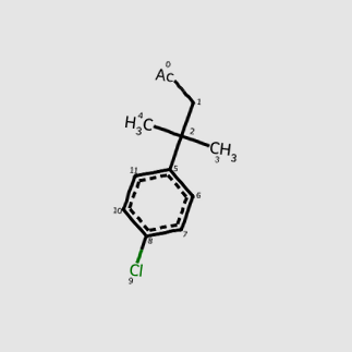 CC(=O)CC(C)(C)c1ccc(Cl)cc1